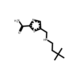 CC(C)(C)CCNCc1cnc(C(N)=O)s1